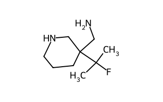 CC(C)(F)C1(CN)CCCNC1